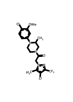 COc1cc(N2CCN(C(=O)Cn3nc(C(F)(F)F)c(Cl)c3C)CC2C)ccc1Cl